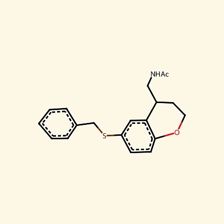 CC(=O)NCC1CCOc2ccc(SCc3ccccc3)cc21